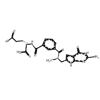 CN(Cc1cc2c(=O)[nH]c(N)nc2[nH]1)C(=O)c1cccc(C(=O)N[C@@H](CCC(=O)O)C(=O)O)c1